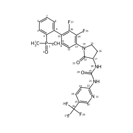 CP(C)(=O)c1ccccc1-c1ccc(N2CCC(NC(=O)Nc3ccc(C(F)(F)F)cn3)C2=O)c(F)c1F